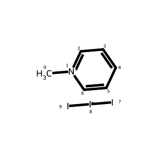 C[n+]1ccccc1.I[I-]I